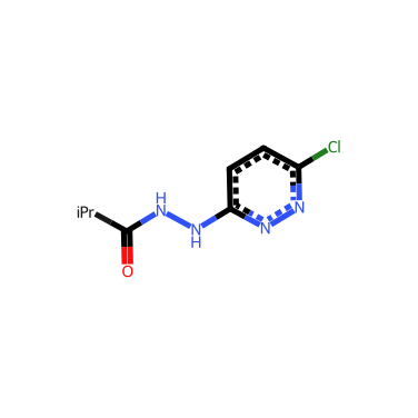 CC(C)C(=O)NNc1ccc(Cl)nn1